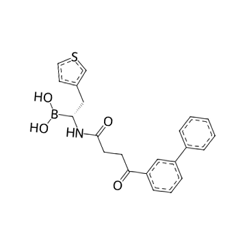 O=C(CCC(=O)c1cccc(-c2ccccc2)c1)N[C@@H](Cc1ccsc1)B(O)O